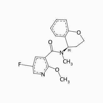 COc1ncc(F)cc1C(=O)N(C)[C@@H]1CCOc2ccccc21